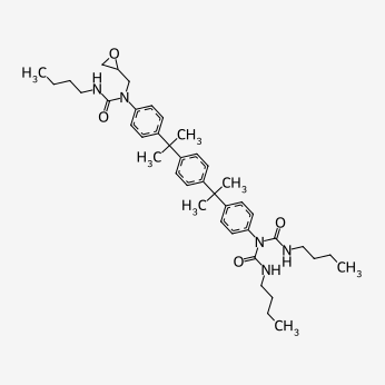 CCCCNC(=O)N(CC1CO1)c1ccc(C(C)(C)c2ccc(C(C)(C)c3ccc(N(C(=O)NCCCC)C(=O)NCCCC)cc3)cc2)cc1